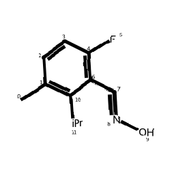 Cc1ccc(F)c(C=NO)c1C(C)C